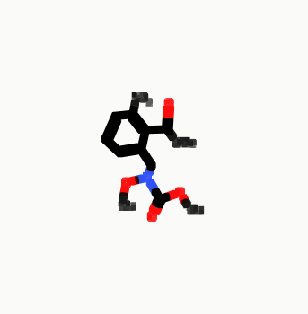 COC(=O)c1c(CN(OC(C)(C)C)C(=O)OC(C)(C)C)cccc1[N+](=O)[O-]